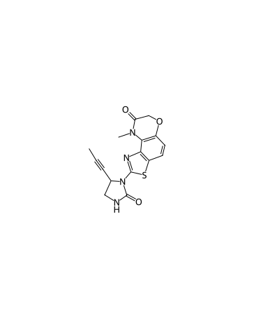 CC#CC1CNC(=O)N1c1nc2c3c(ccc2s1)OCC(=O)N3C